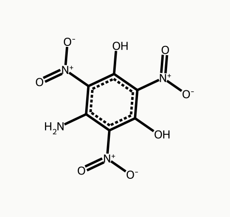 Nc1c([N+](=O)[O-])c(O)c([N+](=O)[O-])c(O)c1[N+](=O)[O-]